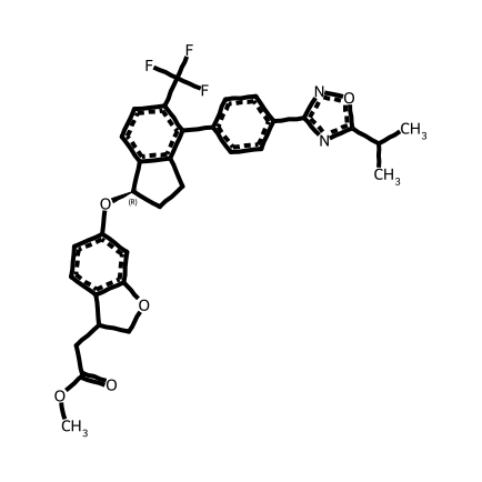 COC(=O)CC1COc2cc(O[C@@H]3CCc4c3ccc(C(F)(F)F)c4-c3ccc(-c4noc(C(C)C)n4)cc3)ccc21